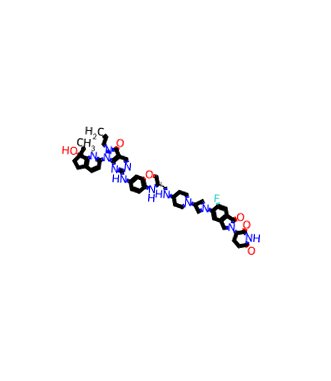 C=CCn1c(=O)c2cnc(Nc3ccc4c(c3)OC[C@H](CNC3CCN(C5CN(c6cc7c(cc6F)C(=O)N(C6CCC(=O)NC6=O)C7)C5)CC3)N4)nc2n1-c1ccc2c(n1)[C@@](O)(CC)CC2